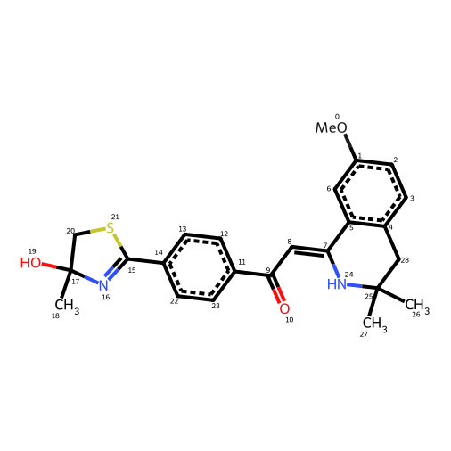 COc1ccc2c(c1)C(=CC(=O)c1ccc(C3=NC(C)(O)CS3)cc1)NC(C)(C)C2